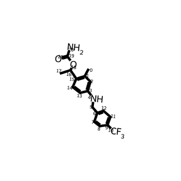 Cc1cc(NCc2ccc(C(F)(F)F)cc2)ccc1C(C)OC(N)=O